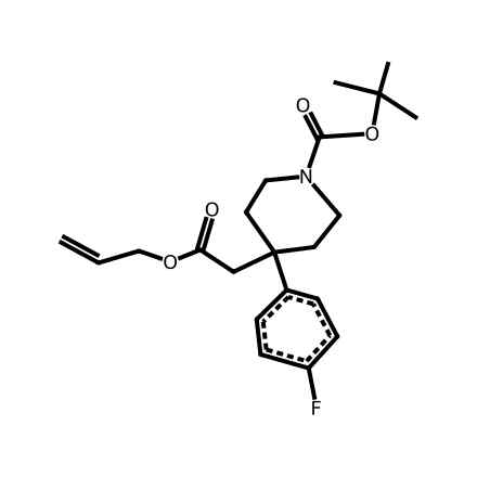 C=CCOC(=O)CC1(c2ccc(F)cc2)CCN(C(=O)OC(C)(C)C)CC1